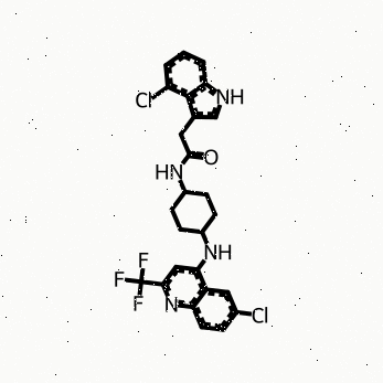 O=C(Cc1c[nH]c2cccc(Cl)c12)NC1CCC(Nc2cc(C(F)(F)F)nc3ccc(Cl)cc23)CC1